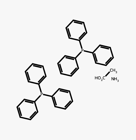 CC(=O)O.N.c1ccc(P(c2ccccc2)c2ccccc2)cc1.c1ccc(P(c2ccccc2)c2ccccc2)cc1